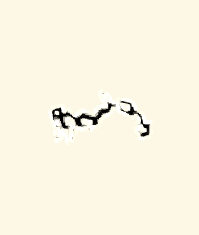 O=C(C=Cc1cnc2c(c1)CC1(CCC1)C(=O)N2)N1CC=C(Cc2cccs2)CC1